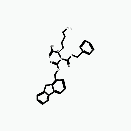 NCCCC[C@H](C(=O)O)N(C(=O)OCc1ccccc1)C(=O)OCc1cccc2c1Cc1ccccc1-2